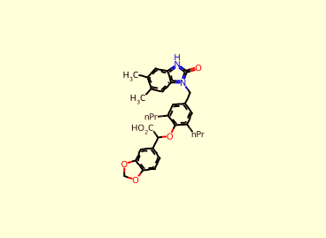 CCCc1cc(Cn2c(=O)[nH]c3cc(C)c(C)cc32)cc(CCC)c1OC(C(=O)O)c1ccc2c(c1)OCO2